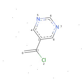 C=C(Cl)c1cncnc1